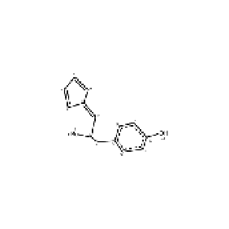 CCCCC(C=C1C=CC=C1)Cc1ccc(O)cc1